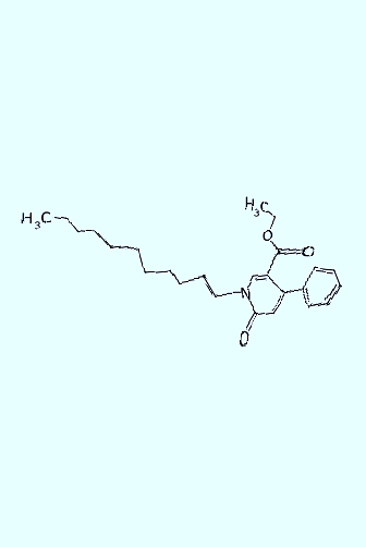 CCCCCCCCCCCn1cc(C(=O)OCC)c(-c2ccccc2)cc1=O